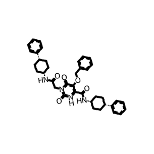 O=C(Cn1c(=O)[nH]c(C(=O)N[C@H]2CC[C@@H](c3ccccc3)CC2)c(OCc2ccccc2)c1=O)N[C@H]1CC[C@@H](c2ccccc2)CC1